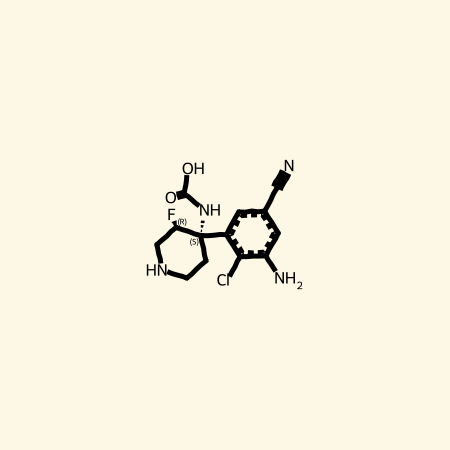 N#Cc1cc(N)c(Cl)c([C@@]2(NC(=O)O)CCNC[C@H]2F)c1